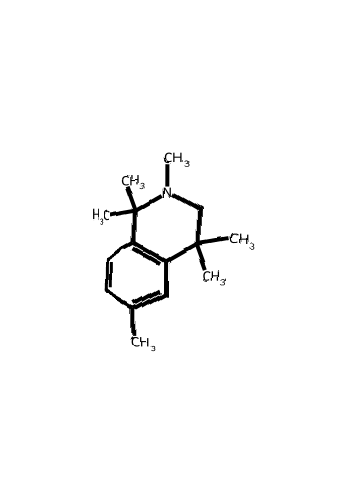 Cc1ccc2c(c1)C(C)(C)CN(C)C2(C)C